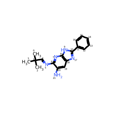 CC(C)(C)/C=N/c1nc2[nH]c(-c3ccccc3)nc2cc1N